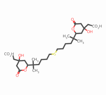 CC(C)(CCCCSCCCCC(C)(C)C1CC(O)(CC(=O)O)CC(=O)O1)C1CC(O)(CC(=O)O)CC(=O)O1